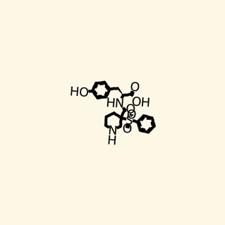 O=C(O)[C@H](Cc1ccc(O)cc1)NC(=O)C1(S(=O)(=O)c2ccccc2)CCCNC1